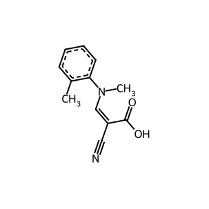 Cc1ccccc1N(C)C=C(C#N)C(=O)O